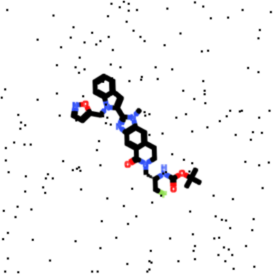 Cn1c(-c2cc3ccccc3n2Cc2ccno2)nc2cc3c(cc21)CCN(C[C@@H](CF)NC(=O)OC(C)(C)C)C3=O